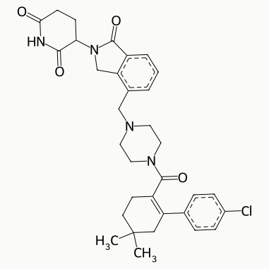 CC1(C)CCC(C(=O)N2CCN(Cc3cccc4c3CN(C3CCC(=O)NC3=O)C4=O)CC2)=C(c2ccc(Cl)cc2)C1